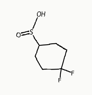 O=S(O)C1CCC(F)(F)CC1